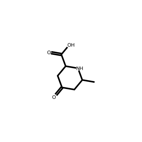 CC1CC(=O)CC(C(=O)O)N1